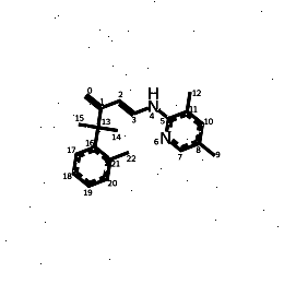 C=C(C=CNc1ncc(C)cc1C)C(C)(C)c1ccccc1C